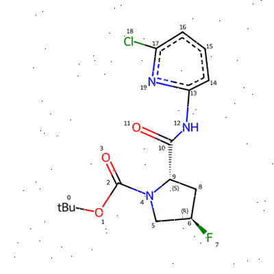 CC(C)(C)OC(=O)N1C[C@H](F)C[C@H]1C(=O)Nc1cccc(Cl)n1